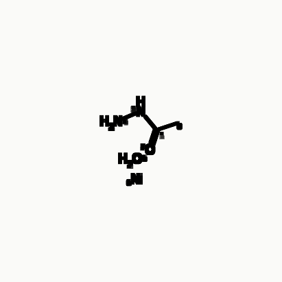 CC(=O)NN.O.[Ni]